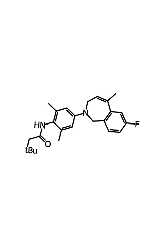 CC1=CCN(c2cc(C)c(NC(=O)CC(C)(C)C)c(C)c2)Cc2ccc(F)cc21